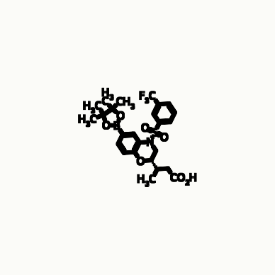 CC(CC(=O)O)[C@H]1CN(S(=O)(=O)c2cccc(C(F)(F)F)c2)c2cc(B3OC(C)(C)C(C)(C)O3)ccc2O1